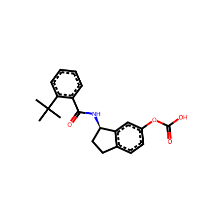 CC(C)(C)c1ccccc1C(=O)N[C@@H]1CCc2ccc(OC(=O)O)cc21